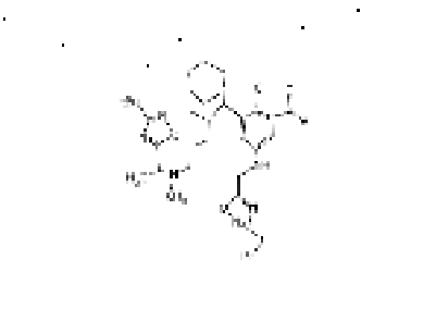 CC(=O)C(=O)c1cc(NCc2nc(CC(C)C)no2)cc(C2C3CCCC(C3)CC2CCCN(C)C(C)c2nc(C(C)(C)C)no2)c1Cl